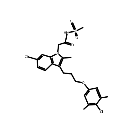 Cc1cc(OCCCc2c(C)n(CC(=O)NS(C)(=O)=O)c3cc(Cl)ccc23)cc(C)c1Cl